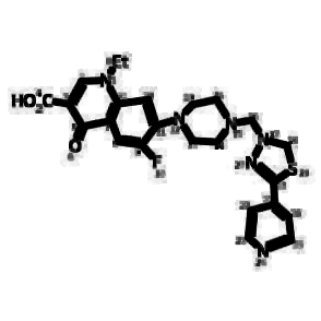 CCn1cc(C(=O)O)c(=O)c2cc(F)c(N3CCN(CN4CSC(c5ccncc5)=N4)CC3)cc21